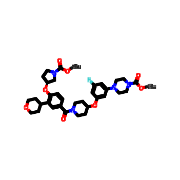 CC(C)(C)OC(=O)N1CCN(c2cc(F)cc(OC3CCN(C(=O)c4ccc(O[C@H]5CCN(C(=O)OC(C)(C)C)C5)c(C5CCOCC5)c4)CC3)c2)CC1